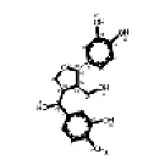 Cc1ccc([C@@H](O)[C@H]2CO[C@H](c3ccc(O)c(O)c3)[C@H]2CO)cc1O